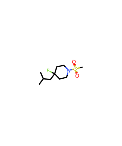 CC(C)CC1(F)CCN(S(C)(=O)=O)CC1